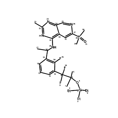 CC[Si](CC)(CC)OC(C)(C)C(F)(F)c1cccc(C(C)Nc2nc(C)nc3cnc(P(C)(C)=O)cc23)c1F